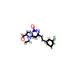 O=c1nc(CCc2cccc(F)c2)cc2n1CC1COCCN21